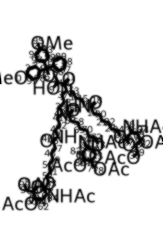 COc1ccc(C(OCC(O)C(=O)N(CCCNC(=O)CCCCCCO[C@@H]2OC(COC(C)=O)[C@H](OC(C)=O)[C@H](C)C2NC(C)=O)CCCN(CCCNC(=O)CCCCCCO[C@@H]2OC(COC(C)=O)[C@H](OC(C)=O)[C@H](C)C2NC(C)=O)C(=O)CCCCCCO[C@@H]2OC(COC(C)=O)[C@H](OC(C)=O)[C@H](C)C2NC(C)=O)(c2ccccc2)c2ccc(OC)cc2)cc1